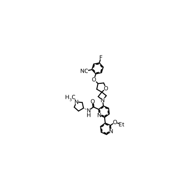 CCOc1ncccc1-c1ccc(N2CC3(CC(Oc4ccc(F)cc4C#N)CO3)C2)c(C(=O)N[C@@H]2CCN(C)C2)n1